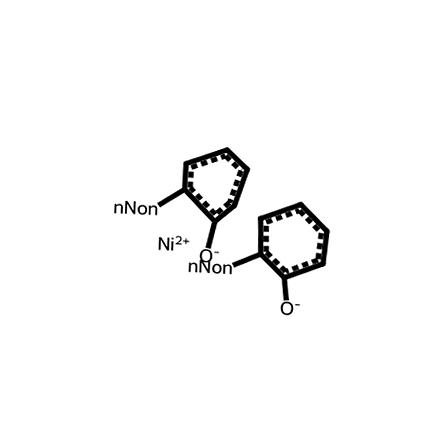 CCCCCCCCCc1ccccc1[O-].CCCCCCCCCc1ccccc1[O-].[Ni+2]